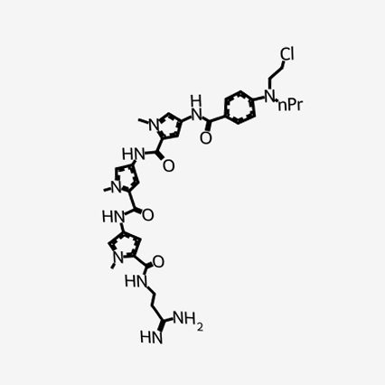 CCCN(CCCl)c1ccc(C(=O)Nc2cc(C(=O)Nc3cc(C(=O)Nc4cc(C(=O)NCCC(=N)N)n(C)c4)n(C)c3)n(C)c2)cc1